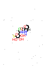 CSC1O[C@H]([C@H](NC(=O)[C@H]2NC[C@@H]3C=CCO[C@@H]23)[C@H](C)Cl)C(O)[C@@H](O)[C@H]1O